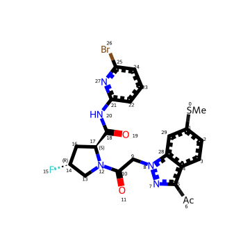 CSc1ccc2c(C(C)=O)nn(CC(=O)N3C[C@H](F)C[C@H]3C(=O)Nc3cccc(Br)n3)c2c1